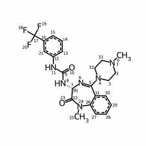 CN1CCN(C2=N[C@@H](NC(=O)Nc3cccc(C(F)(F)F)c3)C(=O)N(C)c3ccccc32)CC1